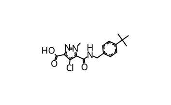 Cn1nc(C(=O)O)c(Cl)c1C(=O)NCc1ccc(C(C)(C)C)cc1